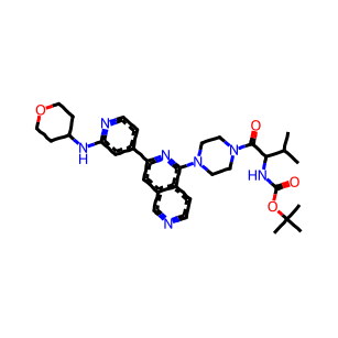 CC(C)C(NC(=O)OC(C)(C)C)C(=O)N1CCN(c2nc(-c3ccnc(NC4CCOCC4)c3)cc3cnccc23)CC1